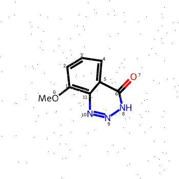 COc1cccc2c(=O)[nH]nnc12